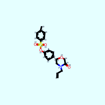 C=CCN1C[C@H](c2ccc(OS(=O)(=O)c3ccc(C)cc3)cc2)OCC1=O